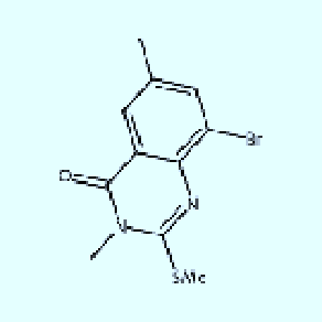 CSc1nc2c(Br)cc(C)cc2c(=O)n1C